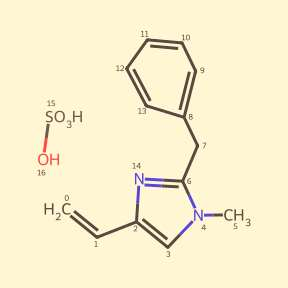 C=Cc1cn(C)c(Cc2ccccc2)n1.O=S(=O)(O)O